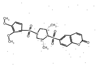 COc1ccc(S(=O)(=O)N2C[C@@H](C)N(S(=O)(=O)c3ccc4oc(=O)ccc4c3)[C@@H](C)C2)cc1OC